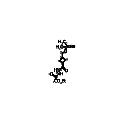 CCOC(=O)C(=O)NNC(=O)C1CC(CO[Si](C)(C)C(C)(C)C)C1